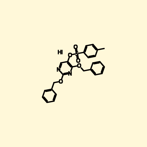 Cc1ccc(S(=O)(=O)Oc2cnc(OCc3ccccc3)nc2OCc2ccccc2)cc1.I